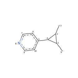 CC1C(C)C1c1ccncc1